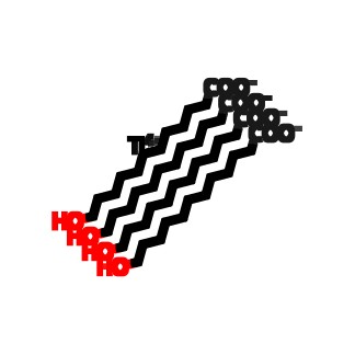 O=C([O-])CCCCCCCCCCCO.O=C([O-])CCCCCCCCCCCO.O=C([O-])CCCCCCCCCCCO.O=C([O-])CCCCCCCCCCCO.[Ti+4]